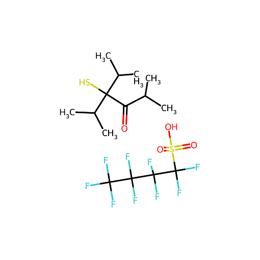 CC(C)C(=O)C(S)(C(C)C)C(C)C.O=S(=O)(O)C(F)(F)C(F)(F)C(F)(F)C(F)(F)F